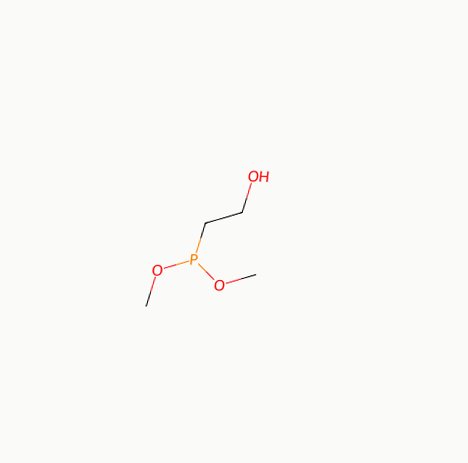 COP(CCO)OC